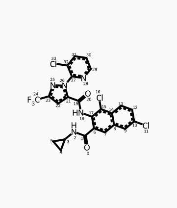 O=C(NC1CC1)c1cc2cc(Cl)ccc2c(Cl)c1NC(=O)c1cc(C(F)(F)F)nn1-c1ncccc1Cl